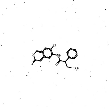 O=C(O)CC(C(=O)Nc1cc2c(cc1Cl)=C[N]C(=O)C=2)c1ccccc1